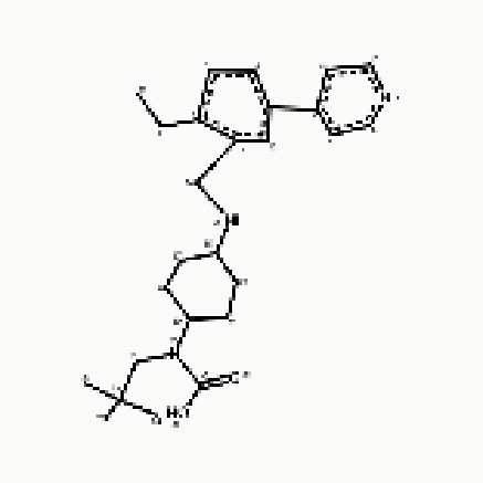 CCc1ccc(-c2ccncc2)cc1CNC1CCC(N(CC(C)(C)C)C(=O)O)CC1